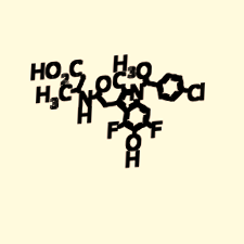 Cc1c(CC(=O)NC(C)CC(=O)O)c2c(F)c(O)c(F)cc2n1C(=O)c1ccc(Cl)cc1